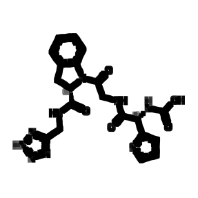 O=C(O)N[C@@H](C(=O)NCC(=O)N1c2ccccc2C[C@H]1C(=O)NCc1nn[nH]n1)c1cccs1